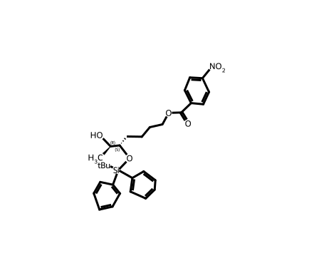 C[C@@H](O)[C@H](CCCCOC(=O)c1ccc([N+](=O)[O-])cc1)O[Si](c1ccccc1)(c1ccccc1)C(C)(C)C